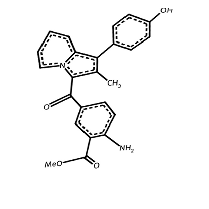 COC(=O)c1cc(C(=O)c2c(C)c(-c3ccc(O)cc3)c3ccccn23)ccc1N